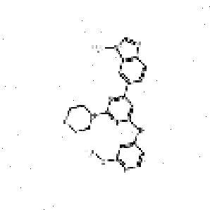 COc1cc(Nc2cc(-c3ccc4ncn(C)c4c3)nc(N3CCOCC3)n2)ccn1